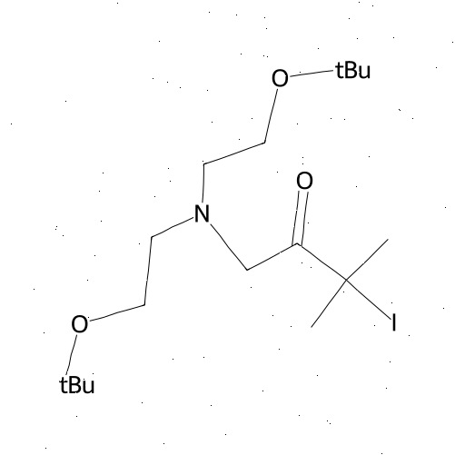 CC(C)(C)OCCN(CCOC(C)(C)C)CC(=O)C(C)(C)I